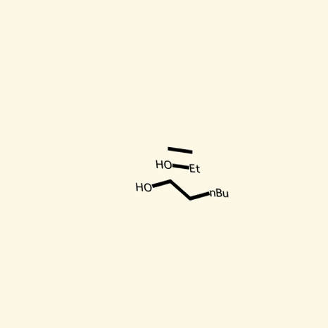 CC.CCCCCCO.CCO